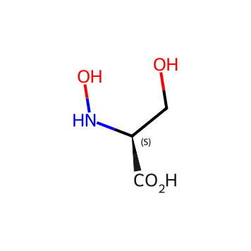 O=C(O)[C@H](CO)NO